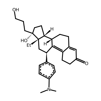 CC[C@]12C[C@H](c3ccc(N(C)C)cc3)C3=C4CCC(=O)C=C4CC[C@H]3[C@H]1CC[C@]2(O)CCCO